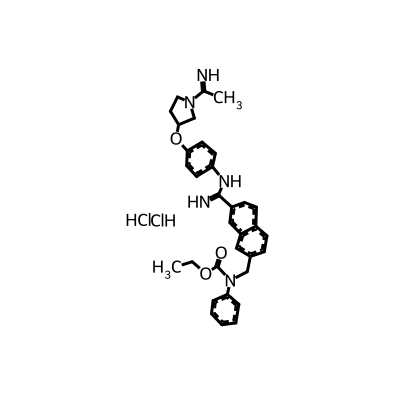 CCOC(=O)N(Cc1ccc2ccc(C(=N)Nc3ccc(OC4CCN(C(C)=N)C4)cc3)cc2c1)c1ccccc1.Cl.Cl